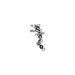 CNc1nc(N)c(Cl)nc1C(=O)/N=C1\NCC2(CCN(C(=O)Cc3nc(-c4ccc(Cl)cc4)no3)CC2)N1